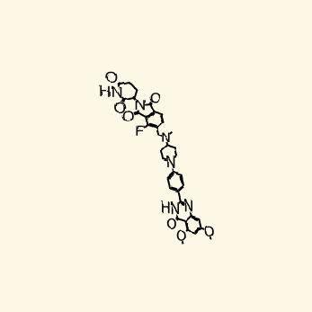 COc1cc(OC)c2c(=O)[nH]c(-c3ccc(N4CCC(N(C)Cc5ccc6c(c5F)C(=O)N(C5CCC(=O)NC5=O)C6=O)CC4)cc3)nc2c1